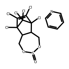 O=S1OCC2C(CO1)C1(Cl)C(Cl)=C(Cl)C2(Cl)C1(Cl)Cl.c1ccncc1